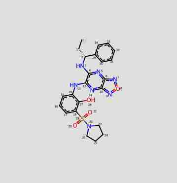 CC[C@@H](Nc1nc2nonc2nc1Nc1cccc(S(=O)(=O)N2CCCC2)c1O)c1ccccc1